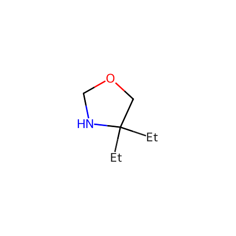 CCC1(CC)COCN1